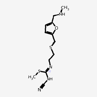 CNCc1ccc(CSCC/N=C(/NC#N)SC)o1